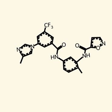 Cc1cn(-c2cc(C(=O)Nc3ccc(C)c(NC(=O)c4ccno4)c3)cc(C(F)(F)F)c2)cn1